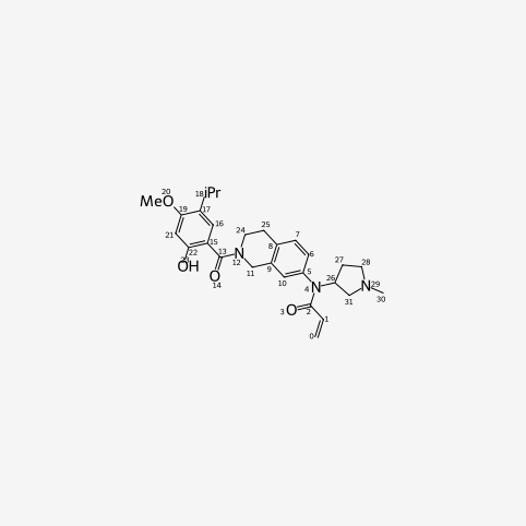 C=CC(=O)N(c1ccc2c(c1)CN(C(=O)c1cc(C(C)C)c(OC)cc1O)CC2)C1CCN(C)C1